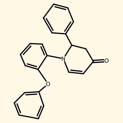 O=C1C=CN(c2ccccc2Oc2ccccc2)C(c2ccccc2)C1